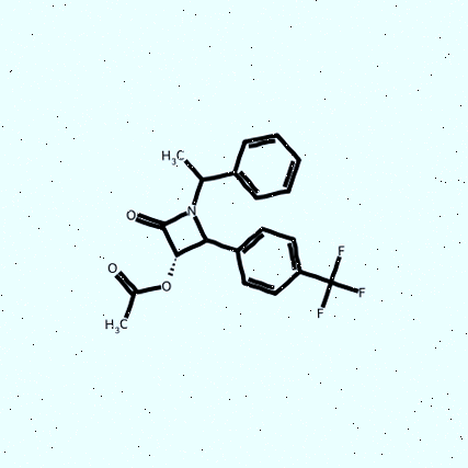 CC(=O)O[C@@H]1C(=O)N(C(C)c2ccccc2)C1c1ccc(C(F)(F)F)cc1